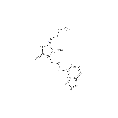 CCC/C=C1/SC(=O)N(CCSc2cccc3nccn23)C1=O